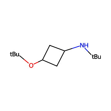 CC(C)(C)NC1CC(OC(C)(C)C)C1